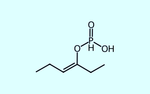 CCC=C(CC)O[PH](=O)O